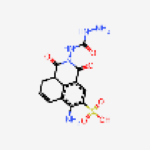 NNC(=O)NN1C(=O)c2cc(S(=O)(=O)O)c(N)c3c2C(CC=C3)C1=O